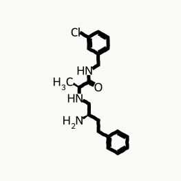 C[C@H](NC[C@H](N)CCc1ccccc1)C(=O)NCc1cccc(Cl)c1